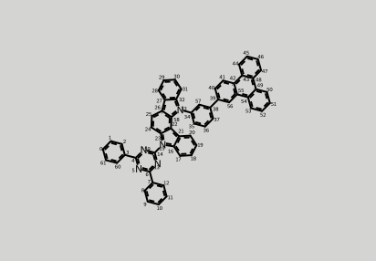 c1ccc(-c2nc(-c3ccccc3)nc(-n3c4ccccc4c4c3ccc3c5ccccc5n(-c5cccc(-c6ccc7c8ccccc8c8ccccc8c7c6)c5)c34)n2)cc1